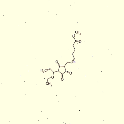 C=CC(OCC)C1C(=O)C(=O)C(C/C=C\CCCC(=O)OC)C1=O